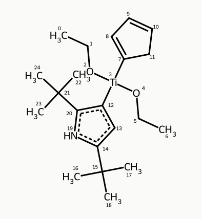 CC[O][Ti]([O]CC)([C]1=CC=CC1)[c]1cc(C(C)(C)C)[nH]c1C(C)(C)C